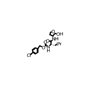 CC(C)C[C@H](NC(=O)OCc1ccc(Cl)cc1)C(=O)N[C@H]1CCOC1O